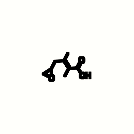 CC(CC1CO1)=C(C)C(=O)O